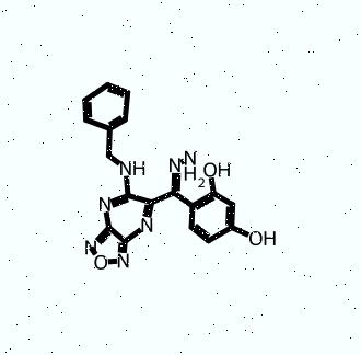 NN=C(c1ccc(O)cc1O)c1nc2nonc2nc1NCc1ccccc1